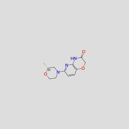 C[C@@H]1CN(c2ccc3c(n2)NC(=O)CO3)CCO1